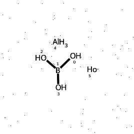 OB(O)O.[AlH3].[Ho]